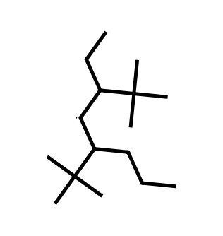 CCCC([CH]C(CC)C(C)(C)C)C(C)(C)C